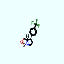 FC(F)(F)c1ccc([C@@H]2CCN3SOC[C@H]23)cc1